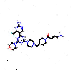 CN(C)C/C=C/C(=O)N1CCC(CN2CCN(c3nc(-c4cnc(N)nc4C(F)F)nc(N4CCOCC4)n3)CC2)CC1